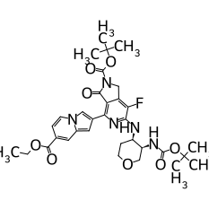 CCOC(=O)c1ccn2cc(-c3nc(N[C@@H]4CCOC[C@@H]4NC(=O)OC(C)(C)C)c(F)c4c3C(=O)N(C(=O)OC(C)(C)C)C4)cc2c1